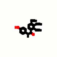 COc1ccc(C(=O)C(C)c2ccc(O)cc2)c(OC)c1OC